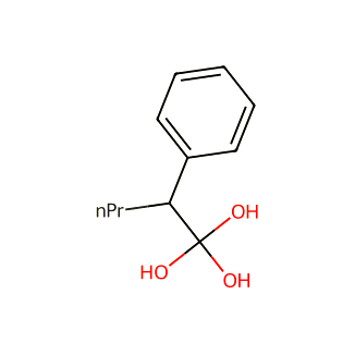 CCCC(c1ccccc1)C(O)(O)O